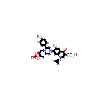 Cc1oc(=O)oc1CN1CCN(c2cc3c(cc2F)c(=O)c(C(=O)O)cn3C2CC2)CC1c1ccc(Br)cc1